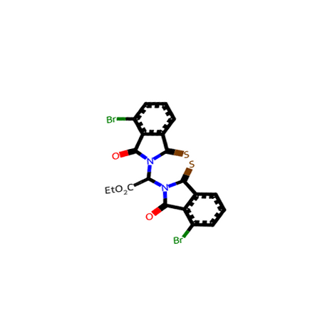 CCOC(=O)C(N1C(=O)c2c(Br)cccc2C1=S)N1C(=O)c2c(Br)cccc2C1=S